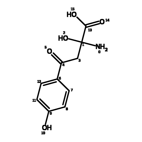 NC(O)(CC(=O)c1ccc(O)cc1)C(=O)O